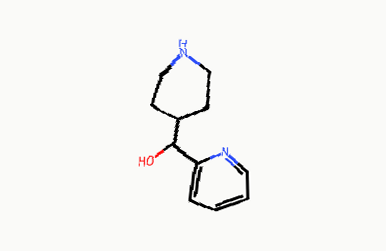 OC(c1ccccn1)C1CCNCC1